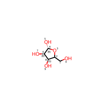 OCC1O[C@@H](O)[C@H](O)[C@@H]1O